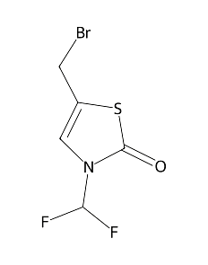 O=c1sc(CBr)cn1C(F)F